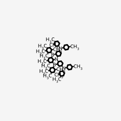 Cc1ccc(N(c2ccc(C)cc2)c2ccc3c(c2)B(c2c(C)c(C)c(C)c(C)c2C)c2cc(C)cc4c2N3c2ccc(N(c3ccc(C)cc3)c3ccc(C)cc3)cc2B4c2c(C)c(C)c(C)c(C)c2C)cc1